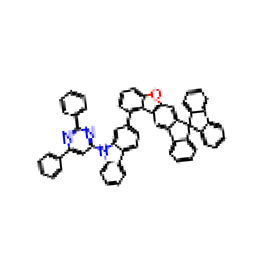 c1ccc(-c2cc(-n3c4ccccc4c4ccc(-c5cccc6oc7cc8c(cc7c56)-c5ccccc5C85c6ccccc6-c6ccccc65)cc43)nc(-c3ccccc3)n2)cc1